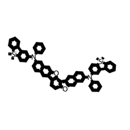 C[Si]1(C)c2ccccc2-c2cc(N(c3ccccc3)c3ccc4cc5c(cc4c3)oc3c5ccc4oc5cc6cc(N(c7ccccc7)c7ccc8c(c7)-c7ccccc7[Si]8(C)C)ccc6cc5c43)ccc21